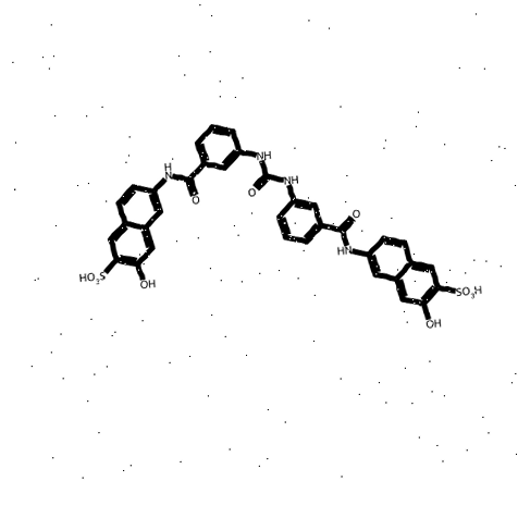 O=C(Nc1cccc(C(=O)Nc2ccc3cc(S(=O)(=O)O)c(O)cc3c2)c1)Nc1cccc(C(=O)Nc2ccc3cc(S(=O)(=O)O)c(O)cc3c2)c1